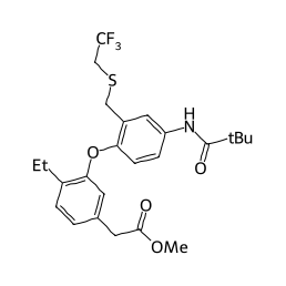 CCc1ccc(CC(=O)OC)cc1Oc1ccc(NC(=O)C(C)(C)C)cc1CSCC(F)(F)F